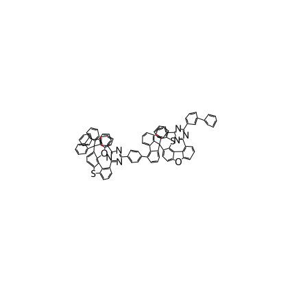 c1ccc(-c2cccc(-c3nc(-c4ccccc4)nc(-c4cccc5oc6ccc7c(c6c45)Sc4ccccc4C74c5ccccc5-c5c(-c6ccc(-c7nc(-c8cccc(-c9ccccc9)c8)nc(-c8cccc9sc%10ccc%11c(c%10c89)Oc8ccccc8C%118c9ccccc9-c9ccccc98)n7)cc6)cccc54)n3)c2)cc1